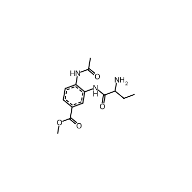 CCC(N)C(=O)Nc1cc(C(=O)OC)ccc1NC(C)=O